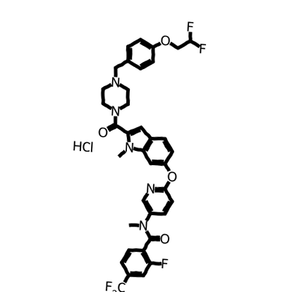 CN(C(=O)c1ccc(C(F)(F)F)cc1F)c1ccc(Oc2ccc3cc(C(=O)N4CCN(Cc5ccc(OCC(F)F)cc5)CC4)n(C)c3c2)nc1.Cl